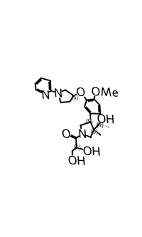 COc1ccc([C@@H]2CN(C(=O)[C@@H](O)CO)C[C@@]2(C)[C@@H](C)O)cc1O[C@H]1CCN(c2ccccn2)C1